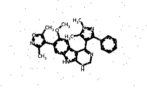 COc1cc2c3c([nH]c2cc1-c1c(C)noc1C)NCN=C3c1c(-c2ccccc2)nn(C)c1C